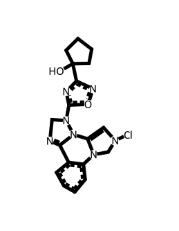 OC1(c2noc(N3CN=C4c5ccccc5N5CN(Cl)C=C5N43)n2)CCCC1